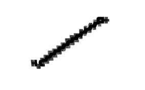 [CH]=CC=CC=CC=CC=CC=CC=CC=CC=CC=CCCCCCCCC